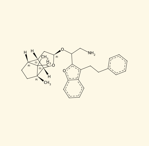 CC1(C)[C@@H]2CC[C@@]1(C)[C@H]1O[C@H](OC(CN)c3oc4ccccc4c3CCc3ccccc3)C[C@@H]21